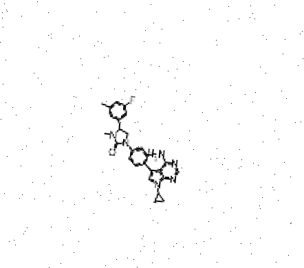 Cc1cc(F)cc(C2CN(c3ccc(-c4cn(C5CC5)c5ncnc(N)c45)c(C)c3)C(=O)N2C)c1